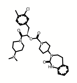 Cc1ccc(C[C@@H](OC(=O)N2CCC(N3CCc4ccccc4NC3=O)CC2)C(=O)N2CCC(N(C)C)CC2)cc1Cl